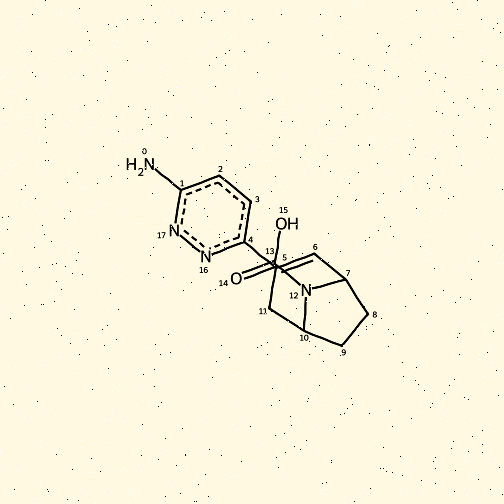 Nc1ccc(C2=CC3CCC(C2)N3C(=O)O)nn1